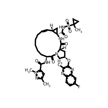 Cc1cc(C(=O)N[C@H]2CCCCC/C=C\[C@@H]3C[C@@]3(C(=O)NS(=O)(=O)C3(C)CC3)NC(=O)[C@@H]3C[C@@H](Oc4nc5cc(F)ccc5nc4C)CN3C2=O)n(C)n1